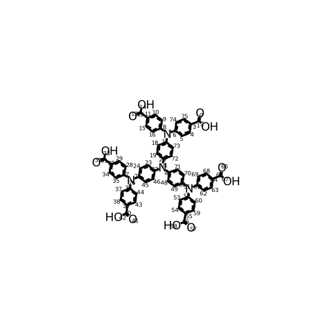 O=C(O)c1ccc(N(c2ccc(C(=O)O)cc2)c2ccc(N(c3ccc(N(c4ccc(C(=O)O)cc4)c4ccc(C(=O)O)cc4)cc3)c3ccc(N(c4ccc(C(=O)O)cc4)c4ccc(C(=O)O)cc4)cc3)cc2)cc1